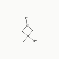 CC(C)C1(C)C[S+]([O-])C1